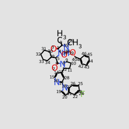 CC(C(=O)NC(C(=O)N1CCCC1c1ccnc(-n2ccc3cc(F)ccc32)c1)C1CCCCC1)N(C)C(=O)OCc1ccccc1